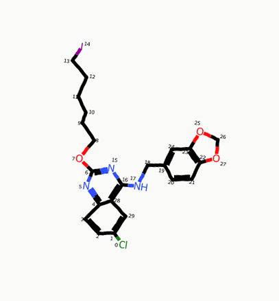 Clc1ccc2nc(OCCCCCCI)nc(NCc3ccc4c(c3)OCO4)c2c1